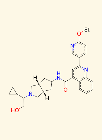 CCOc1ccc(-c2cc(C(=O)NC3C[C@@H]4CN(C(CO)C5CC5)C[C@@H]4C3)c3ccccc3n2)cn1